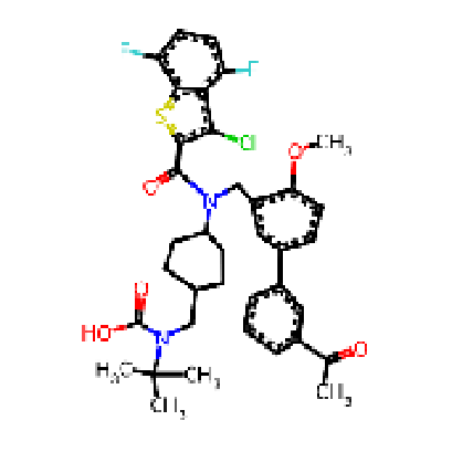 COc1ccc(-c2cccc(C(C)=O)c2)cc1CN(C(=O)c1sc2c(F)ccc(F)c2c1Cl)C1CCC(CN(C(=O)O)C(C)(C)C)CC1